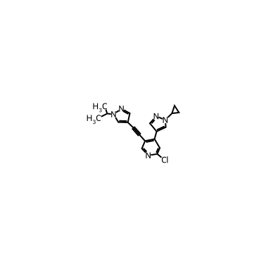 CC(C)n1cc(C#Cc2cnc(Cl)cc2-c2cnn(C3CC3)c2)cn1